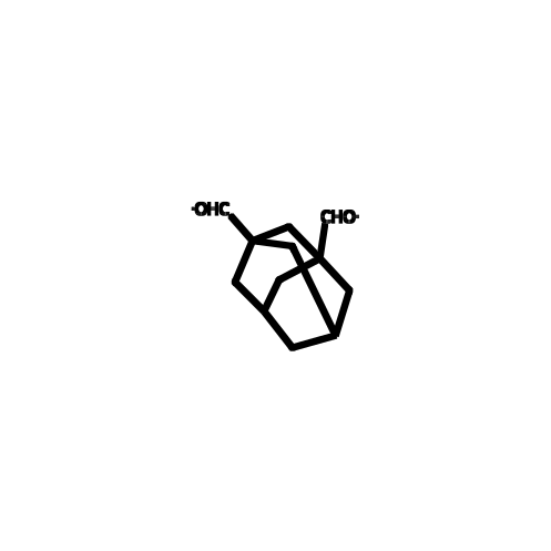 O=[C]C12CC3CC(C1)CC([C]=O)(C3)C2